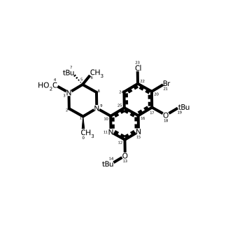 C[C@H]1CN(C(=O)O)[C@](C)(C(C)(C)C)CN1c1nc(OC(C)(C)C)nc2c(OC(C)(C)C)c(Br)c(Cl)cc12